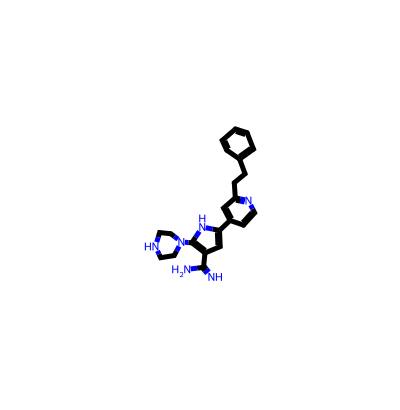 N=C(N)c1cc(-c2ccnc(CCc3ccccc3)c2)[nH]c1N1CCNCC1